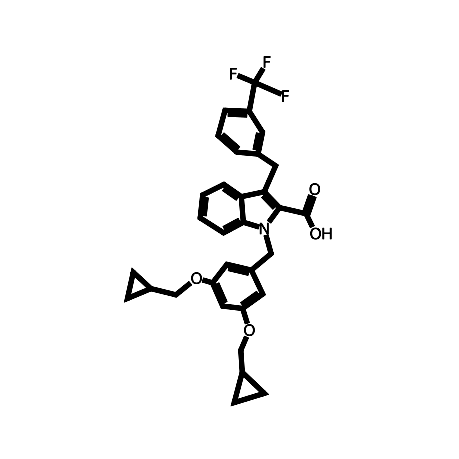 O=C(O)c1c(Cc2cccc(C(F)(F)F)c2)c2ccccc2n1Cc1cc(OCC2CC2)cc(OCC2CC2)c1